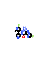 Cc1nc(F)ccc1-c1ccncc1NC(=O)c1c(N)nn2cc(F)cnc12